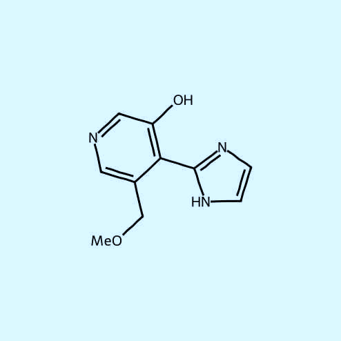 COCc1cncc(O)c1-c1ncc[nH]1